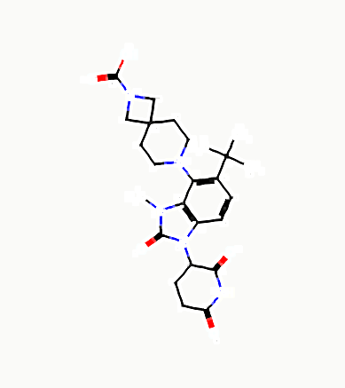 Cn1c(=O)n(C2CCC(=O)NC2=O)c2ccc(C(C)(C)C)c(N3CCC4(CC3)CN(C(=O)O)C4)c21